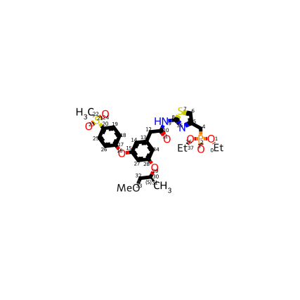 CCOP(=O)(Cc1csc(NC(=O)Cc2cc(Oc3ccc(S(C)(=O)=O)cc3)cc(O[C@@H](C)COC)c2)n1)OCC